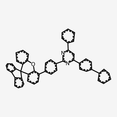 c1ccc(-c2ccc(-c3cc(-c4ccccc4)nc(-c4ccc(-c5cccc6c5Oc5ccccc5C65c6ccccc6-c6ccccc65)cc4)n3)cc2)cc1